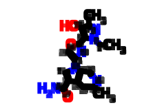 CCn1nc(C)c(O)c1-c1nc(-n2cc(C(N)=O)c3cc(C)ncc32)co1